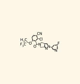 C[C@H](Oc1ccc(C#N)c(Cl)c1C(=O)N1Cc2cn(-c3cncc(F)c3)nc2C1)C(F)(F)F